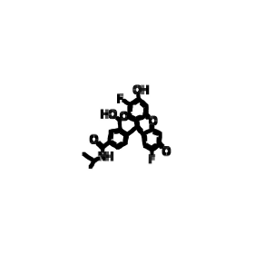 CC(C)NC(=O)c1ccc(-c2c3cc(F)c(=O)cc-3oc3cc(O)c(F)cc23)c(C(=O)O)c1